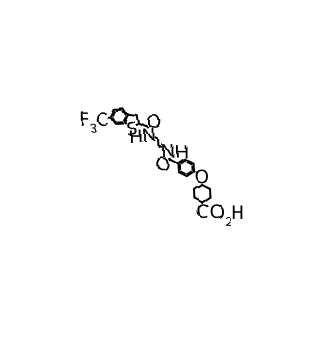 O=C(NCCNC(=O)C1Cc2ccc(C(F)(F)F)cc2S1)c1ccc(O[C@H]2CC[C@@H](C(=O)O)CC2)cc1